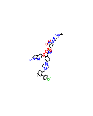 CC1(C)CCC(CN2CCN(c3ccc(C(=O)NS(=O)(=O)c4ccc(NCCCNC5CC5)c([N+](=O)[O-])c4)c(Oc4cnc5[nH]ccc5c4)c3)CC2)=C(c2ccc(Cl)cc2)C1